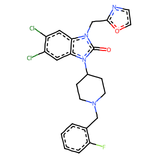 O=c1n(Cc2ncco2)c2cc(Cl)c(Cl)cc2n1C1CCN(Cc2ccccc2F)CC1